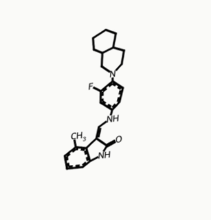 Cc1cccc2c1C(=CNc1ccc(N3CCC4CCCCC4C3)c(F)c1)C(=O)N2